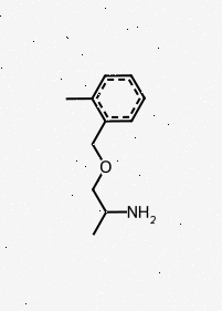 Cc1ccccc1COCC(C)N